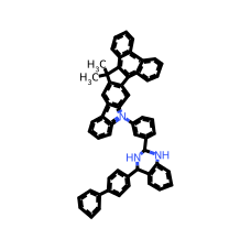 CC1(C)c2cc3c4ccccc4n(-c4cccc(C5Nc6ccccc6C(c6ccc(-c7ccccc7)cc6)N5)c4)c3cc2-c2c1c1ccccc1c1ccccc21